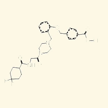 COC(=O)c1ccc(COc2ccccc2CN2CCN(C(=O)CNC(=O)C3CCC(F)(F)CC3)CC2)cc1